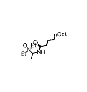 CCCCCCCCCCCC(=O)NC(C)[N+]([O-])(CC)CC